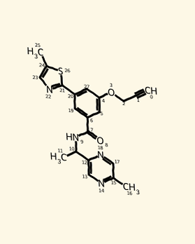 C#CCOc1cc(C(=O)NC(C)c2cnc(C)cn2)cc(-c2ncc(C)s2)c1